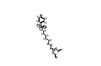 C=CCN(CC=C)CCCCCCCCOS(=O)(=O)c1ccc(C)cc1